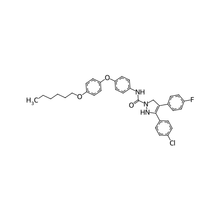 CCCCCCOc1ccc(Oc2ccc(NC(=O)N3CC(c4ccc(F)cc4)=C(c4ccc(Cl)cc4)N3)cc2)cc1